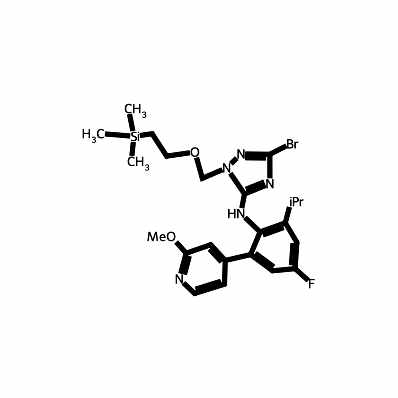 COc1cc(-c2cc(F)cc(C(C)C)c2Nc2nc(Br)nn2COCC[Si](C)(C)C)ccn1